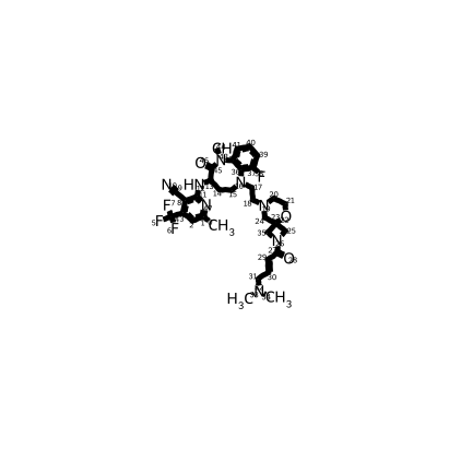 Cc1cc(C(F)(F)F)c(C#N)c(NC2CCN(CCN3CCOC4(C3)CN(C(=O)C=CCN(C)C)C4)c3c(F)cccc3N(C)C2=O)n1